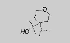 CC(C)C1(C(C)(C)O)CCOCC1